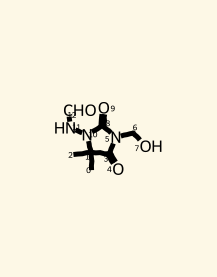 CC1(C)C(=O)N(CO)C(=O)N1NC=O